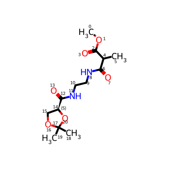 COC(=O)C(C)C(=O)NCCNC(=O)[C@@H]1COC(C)(C)O1